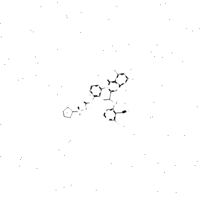 CC(Nc1ncnc(N)c1C#N)c1nc2cccc(Cl)c2c(=O)n1-c1cccc(NC(=O)NS(=O)(=O)C2CCCC2)c1